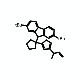 C=CC(C)C1=CCC(C2(C3c4cc(C(C)(C)C)ccc4-c4ccc(C(C)(C)C)cc43)CCCC2)=C1